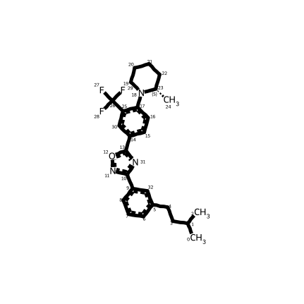 C[C](C)CCc1cccc(-c2noc(-c3ccc(N4CCCC[C@@H]4C)c(C(F)(F)F)c3)n2)c1